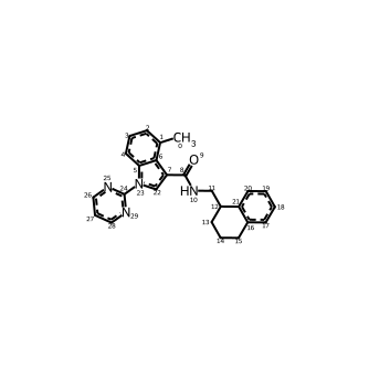 Cc1cccc2c1c(C(=O)NCC1CCCc3ccccc31)cn2-c1ncccn1